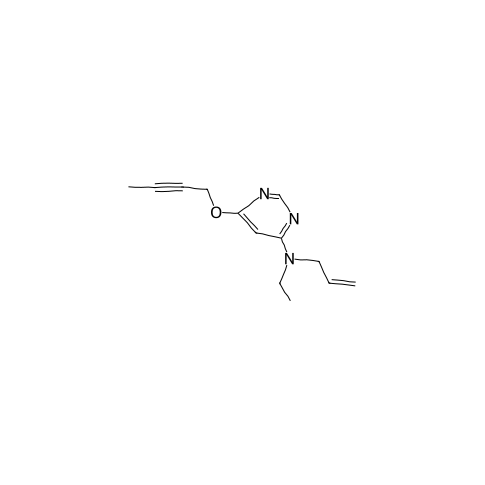 C=CCN(CC)c1cc(OCC#CC)ncn1